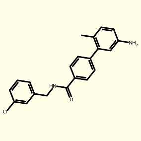 Cc1ccc(N)cc1-c1ccc(C(=O)NCc2cccc(Cl)c2)cc1